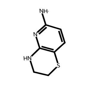 [NH]c1ccc2c(n1)NCCS2